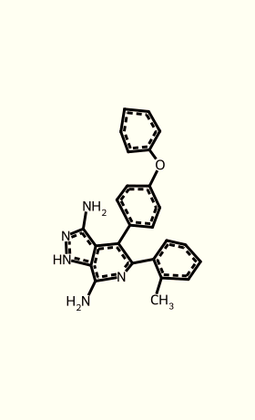 Cc1ccccc1-c1nc(N)c2[nH]nc(N)c2c1-c1ccc(Oc2ccccc2)cc1